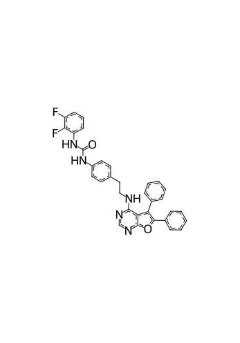 O=C(Nc1ccc(CCNc2ncnc3oc(-c4ccccc4)c(-c4ccccc4)c23)cc1)Nc1cccc(F)c1F